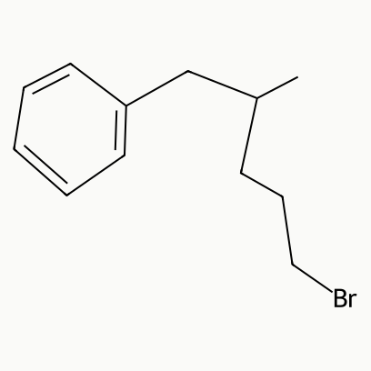 CC(CCCBr)Cc1ccccc1